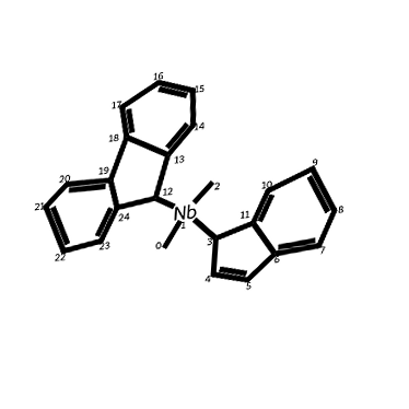 [CH3][Nb]([CH3])([CH]1C=Cc2ccccc21)[CH]1c2ccccc2-c2ccccc21